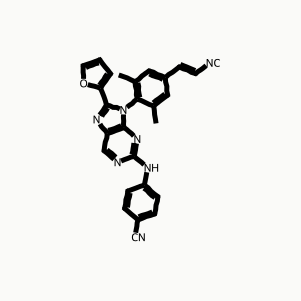 [C-]#[N+]/C=C/c1cc(C)c(-n2c(-c3ccco3)nc3cnc(Nc4ccc(C#N)cc4)nc32)c(C)c1